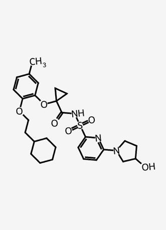 Cc1ccc(OCCC2CCCCC2)c(OC2(C(=O)NS(=O)(=O)c3cccc(N4CCC(O)C4)n3)CC2)c1